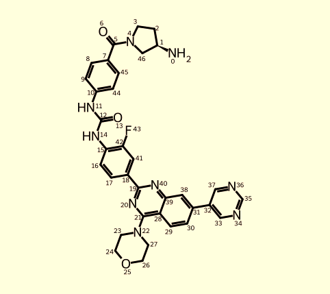 N[C@@H]1CCN(C(=O)c2ccc(NC(=O)Nc3ccc(-c4nc(N5CCOCC5)c5ccc(-c6cncnc6)cc5n4)cc3F)cc2)C1